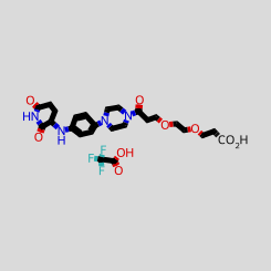 O=C(O)C(F)(F)F.O=C(O)CCOCCOCCC(=O)N1CCN(c2ccc(NC3CCC(=O)NC3=O)cc2)CC1